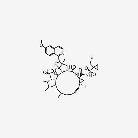 CCC(C)N(C(=O)O)[C@@H]1C(=O)N2[C@@H](C[C@@](C)(Oc3nccc4cc(OC)ccc34)C2(F)F)C(=O)N[C@]2(C(=O)NS(=O)(=O)C3(CF)CC3)C[C@H]2/C=C\CC[C@@H](C)C[C@H]1C